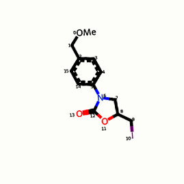 COCc1ccc(N2CC(CI)OC2=O)cc1